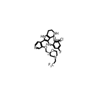 COc1c(Cl)cc(F)cc1Nc1c(-c2ccncc2OC[C@@H]2CN(CC(F)(F)F)CCO2)[nH]c2c1C(=O)NCC2